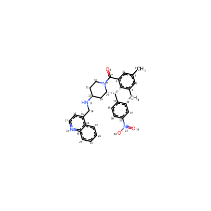 Cc1cc(C)cc(C(=O)N2CC[C@H](NCc3ccnc4ccccc34)C[C@H]2Cc2ccc([N+](=O)[O-])cc2)c1